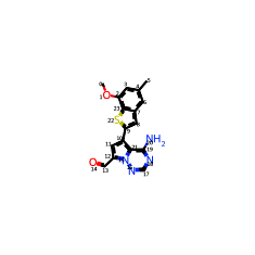 COc1cc(C)cc2cc(-c3cc(C=O)n4ncnc(N)c34)sc12